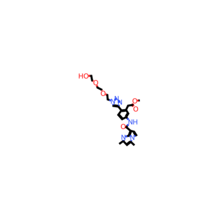 COC(=O)Cc1cc(NC(=O)c2ccn3c(C)cc(C)nc23)ccc1-c1cn(CCOCCOCCO)nn1